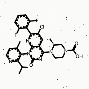 Cc1ccnc(C(C)C)c1-n1c(=O)nc(N2CCN(C(=O)O)C[C@@H]2C)c2cc(Cl)c(-c3c(F)cccc3F)nc21